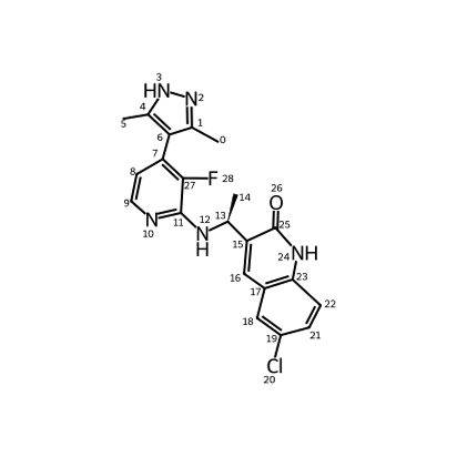 Cc1n[nH]c(C)c1-c1ccnc(N[C@@H](C)c2cc3cc(Cl)ccc3[nH]c2=O)c1F